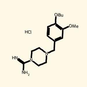 COc1cc(CN2CCN(C(=N)N)CC2)ccc1OCC(C)C.Cl